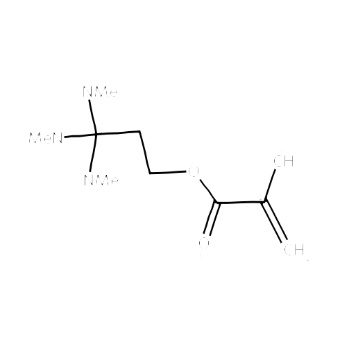 C=C(C)C(=O)OCCC(NC)(NC)NC